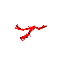 CCCCOc1ccc(-c2ccc(C=CC(=O)OCCCCCCCCCC(=O)OCC(COC(=O)CCCCCCCCCOC(=O)C=Cc3ccc(-c4ccc(OCCCC)cc4)cc3)OC(=O)CCCCCCCCCOC(=O)C=Cc3ccc(-c4ccc(OCCCC)cc4)cc3)cc2)cc1